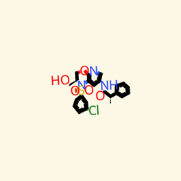 C[C@H](C(=O)Nc1cnc2c(c1)N(S(=O)(=O)c1cccc(Cl)c1)[C@@H](CO)CO2)c1ccccc1